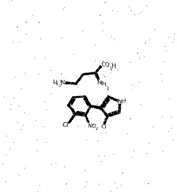 NCCC(N)C(=O)O.O=[N+]([O-])c1c(Cl)cccc1-c1c[nH]cc1Cl